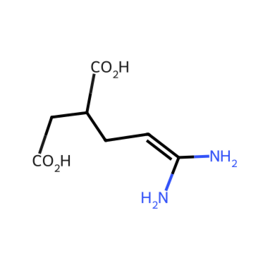 NC(N)=CCC(CC(=O)O)C(=O)O